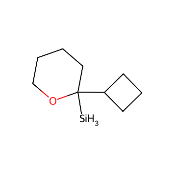 [SiH3]C1(C2CCC2)CCCCO1